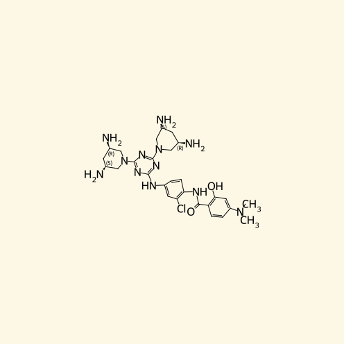 CN(C)c1ccc(C(=O)Nc2ccc(Nc3nc(N4C[C@H](N)C[C@H](N)C4)nc(N4C[C@H](N)C[C@H](N)C4)n3)cc2Cl)c(O)c1